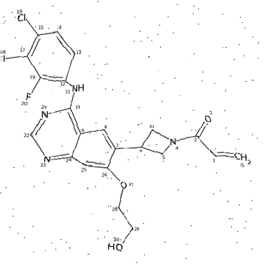 C=CC(=O)N1CC(c2cc3c(Nc4ccc(Cl)c(Cl)c4F)ncnc3cc2OCCO)C1